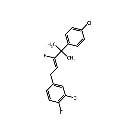 CC(C)(/C(F)=C/Cc1ccc(F)c(Cl)c1)c1ccc(Cl)cc1